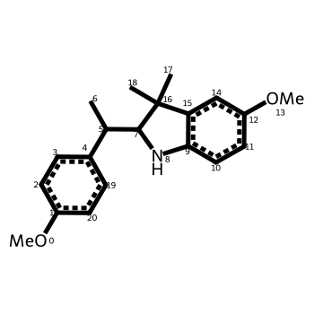 COc1ccc(C(C)C2Nc3ccc(OC)cc3C2(C)C)cc1